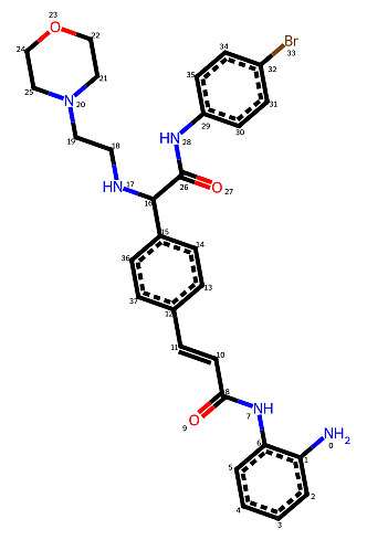 Nc1ccccc1NC(=O)/C=C/c1ccc(C(NCCN2CCOCC2)C(=O)Nc2ccc(Br)cc2)cc1